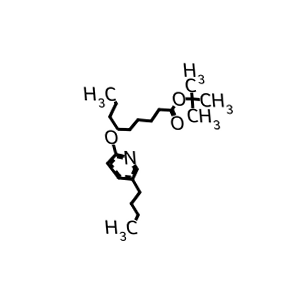 CCCCc1ccc(OC(CCC)CCCCC(=O)OC(C)(C)C)nc1